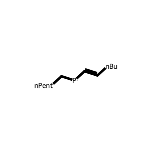 CCCCC=C[P]CCCCCC